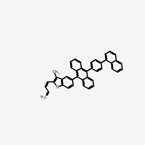 C=C/C=C\c1oc2ccc(-c3c4ccccc4c(-c4ccc(-c5cccc6ccccc56)cc4)c4ccccc34)cc2c1C